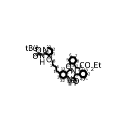 CCOC(=O)CC(c1ccccc1)N1C(=O)c2cc(CCCCOc3cccnc3NC(=O)OC(C)(C)C)ccc2N(C(C)C)C(=O)C1c1ccccc1